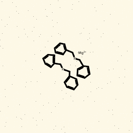 [Mg+2].c1ccc(C[P-]Cc2ccccc2)cc1.c1ccc(C[P-]Cc2ccccc2)cc1